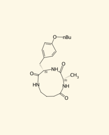 CCCCOc1ccc(C[C@@H]2NC(=O)[C@H](C)NC(=O)CCCNC2=O)cc1